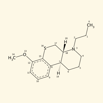 CCCN1CCC[C@H]2c3cccc(OC)c3SC[C@@H]21